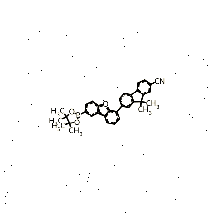 CC1(C)c2cc(C#N)ccc2-c2ccc(-c3cccc4c3oc3ccc(B5OC(C)(C)C(C)(C)O5)cc34)cc21